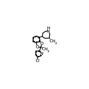 CC1CNCCC(c2cccc3c2O[C@@](C)(c2ccc(Cl)cn2)O3)C1